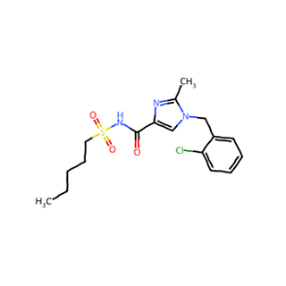 CCCCCS(=O)(=O)NC(=O)c1cn(Cc2ccccc2Cl)c(C)n1